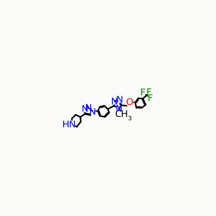 Cn1c(COc2cccc(C(F)(F)F)c2)nnc1C1C=CC=C(n2cc(C3CCNCC3)nn2)C=C1